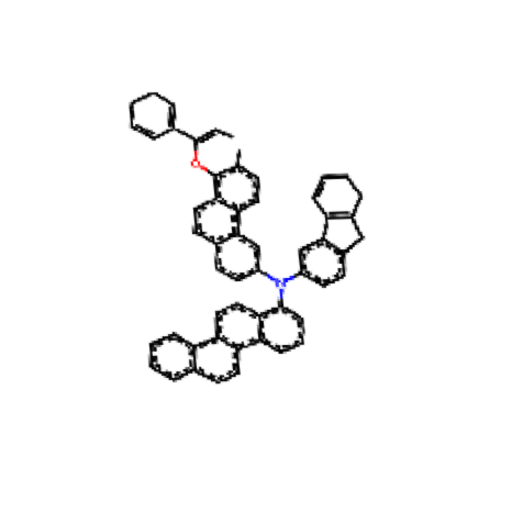 C/C=C(\Oc1c(C)ccc2c1ccc1ccc(N(c3ccc4c(c3)C3=C(CCC=C3)C4)c3cccc4c3ccc3c5ccccc5ccc43)cc12)C1=CCCC=C1